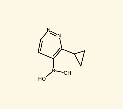 OB(O)c1ccnnc1C1CC1